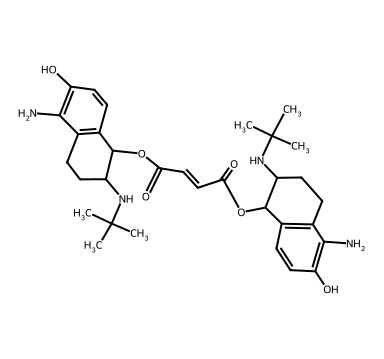 CC(C)(C)NC1CCc2c(ccc(O)c2N)C1OC(=O)/C=C/C(=O)OC1c2ccc(O)c(N)c2CCC1NC(C)(C)C